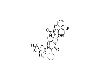 CC(C)(C)OC(=O)NC(C(=O)N1CC(O)C2(c3c[nH]c4cc(F)ccc34)C1CCN2C(=O)OCc1ccccc1)C1CCCCC1